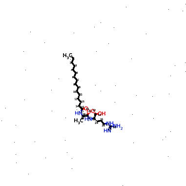 CCCCCCCCCCCCCCCC(=O)N[C@@H](C)C(=O)N[C@@H](CCCNC(=N)N)C(=O)O